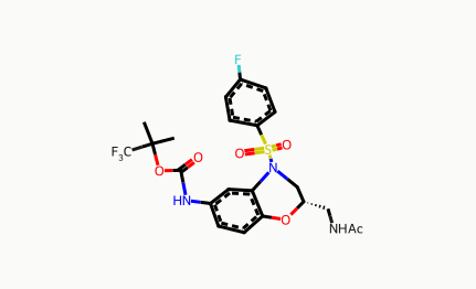 CC(=O)NC[C@H]1CN(S(=O)(=O)c2ccc(F)cc2)c2cc(NC(=O)OC(C)(C)C(F)(F)F)ccc2O1